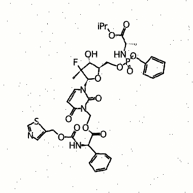 CC(C)OC(=O)[C@H](C)NP(=O)(OC[C@H]1O[C@@H](n2ccc(=O)n(COC(=O)[C@H](NC(=O)OCc3cncs3)c3ccccc3)c2=O)[C@](C)(F)[C@@H]1O)Oc1ccccc1